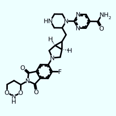 NC(=O)c1cnc(N2CCNCC2CC2[C@H]3CN(c4cc5c(cc4F)C(=O)N(C4CCONO4)C5=O)C[C@@H]23)nc1